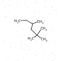 [CH2]CC(C)CC(C)(C)C